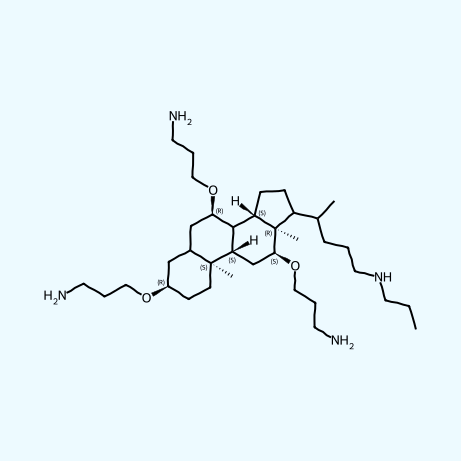 CCCNCCCC(C)C1CC[C@H]2C3[C@H](OCCCN)CC4C[C@H](OCCCN)CC[C@]4(C)[C@H]3C[C@H](OCCCN)[C@]12C